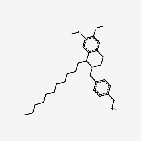 CCCCCCCCCCCC1c2cc(OC)c(OC)cc2CCN1Cc1ccc(CN)cc1